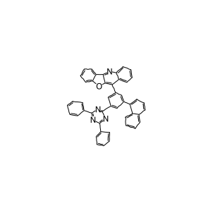 c1ccc(-c2nc(-c3ccccc3)nc(-c3cc(-c4cccc5ccccc45)cc(-c4c5ccccc5nc5c4oc4ccccc45)c3)n2)cc1